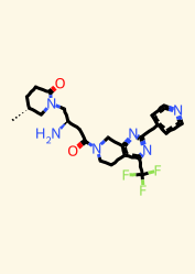 C[C@@H]1CCC(=O)N(C[C@H](N)CC(=O)N2CCc3c(nc(-c4ccncc4)nc3C(F)(F)F)C2)C1